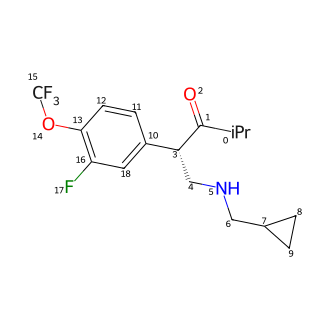 CC(C)C(=O)[C@H](CNCC1CC1)c1ccc(OC(F)(F)F)c(F)c1